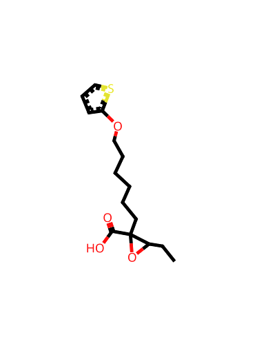 CCC1OC1(CCCCCCOc1cccs1)C(=O)O